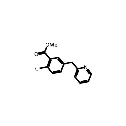 COC(=O)c1cc(Cc2ccccn2)ccc1Cl